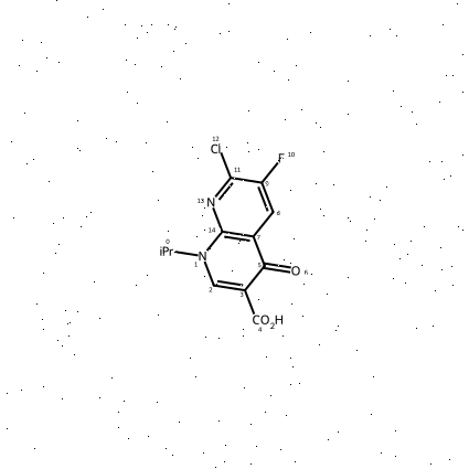 CC(C)n1cc(C(=O)O)c(=O)c2cc(F)c(Cl)nc21